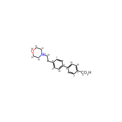 O=C(O)c1ccc(-c2ccc(CCN3CCOCC3)cc2)cc1